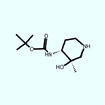 CC(C)(C)OC(=O)N[C@@H]1CCNC[C@@]1(C)O